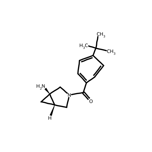 CC(C)(C)c1ccc(C(=O)N2C[C@@H]3C[C@]3(N)C2)cc1